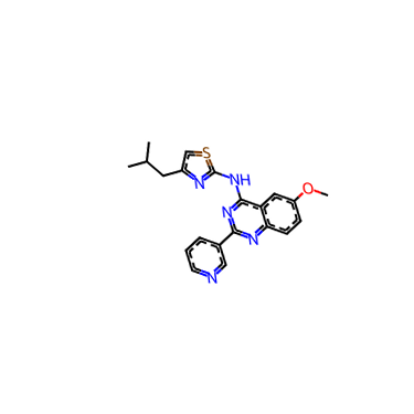 COc1ccc2nc(-c3cccnc3)nc(Nc3nc(CC(C)C)cs3)c2c1